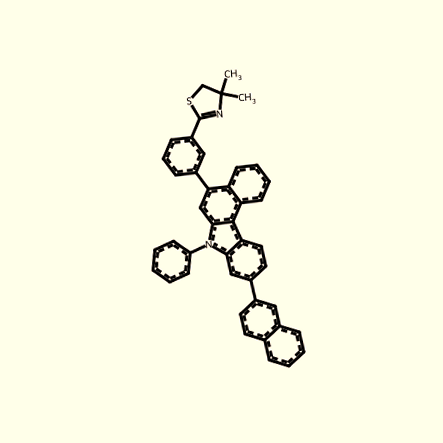 CC1(C)CSC(c2cccc(-c3cc4c(c5ccccc35)c3ccc(-c5ccc6ccccc6c5)cc3n4-c3ccccc3)c2)=N1